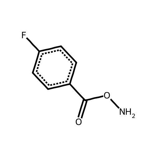 NOC(=O)c1ccc(F)cc1